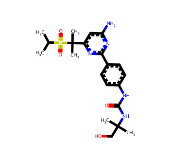 CC(C)S(=O)(=O)C(C)(C)c1cc(N)nc(-c2ccc(NC(=O)NC(C)(C)CO)cc2)n1